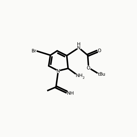 CC(=N)N1C=C(Br)C=C(NC(=O)OC(C)(C)C)C1N